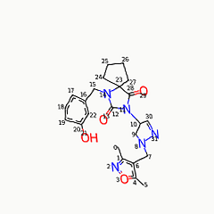 Cc1noc(C)c1CN1CC(N2C(=O)N(Cc3cccc(O)c3)C3(CCCC3)C2=O)C=N1